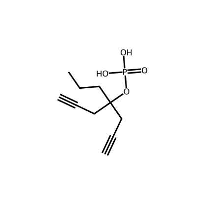 C#CCC(CC#C)(CCC)OP(=O)(O)O